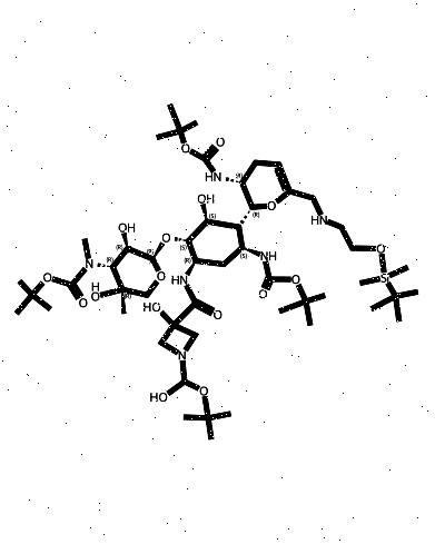 CN(C(=O)OC(C)(C)C)[C@@H]1[C@@H](O)[C@@H](O[C@H]2[C@H](NC(=O)C3(O)CN(C(O)OC(C)(C)C)C3)C[C@H](NC(=O)OC(C)(C)C)C([C@H]3OC(CNCCO[Si](C)(C)C(C)(C)C)=CC[C@H]3NC(=O)OC(C)(C)C)[C@@H]2O)OC[C@]1(C)O